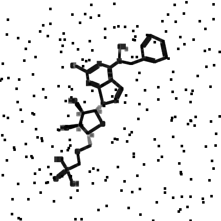 CN(Cc1ccccc1)c1nc(Cl)nc2c1cnn2[C@@H]1O[C@H](COCP(=O)(O)O)[C@@H](O)[C@H]1O